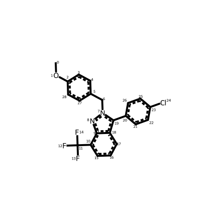 COc1ccc(Cn2nc3c(C(F)(F)F)cccc3c2-c2ccc(Cl)cc2)cc1